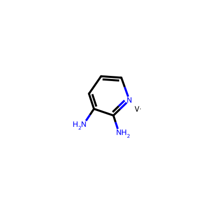 Nc1cccnc1N.[V]